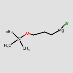 CCCC[Si](C)(C)OCC[CH2][Mg][Br]